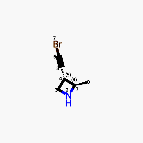 C[C@H]1NC[C@@H]1C#CBr